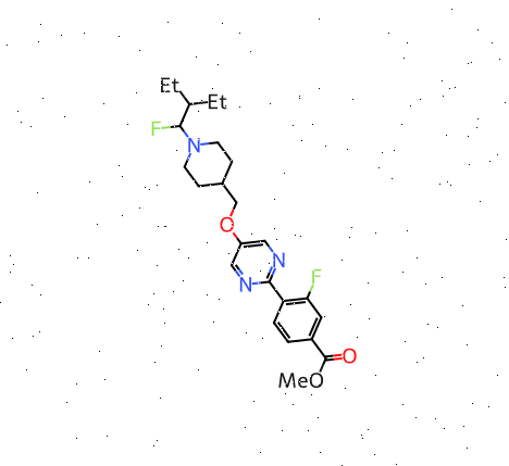 CCC(CC)C(F)N1CCC(COc2cnc(-c3ccc(C(=O)OC)cc3F)nc2)CC1